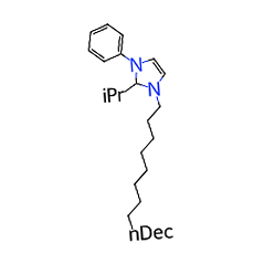 CCCCCCCCCCCCCCCCCCN1C=CN(c2ccccc2)C1C(C)C